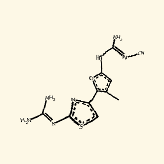 Cc1cc(NC(N)=NC#N)oc1-c1csc(N=C(N)N)n1